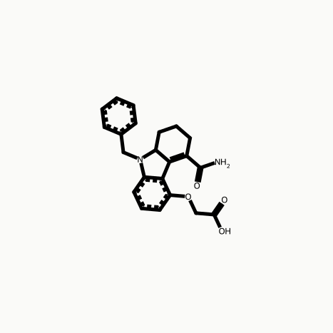 NC(=O)C1=C2c3c(OCC(=O)O)cccc3N(Cc3ccccc3)C2CCC1